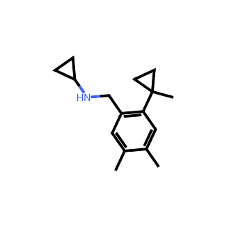 Cc1cc(CNC2CC2)c(C2(C)CC2)cc1C